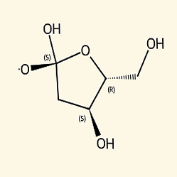 [O][C@]1(O)C[C@H](O)[C@@H](CO)O1